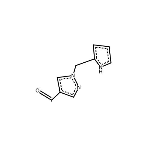 O=[C]c1cnn(Cc2ccc[nH]2)c1